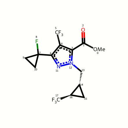 COC(=O)c1c(C(F)(F)F)c(C2(F)CC2)nn1C[C@@H]1C[C@H]1C(F)(F)F